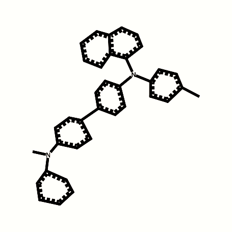 Cc1ccc(N(c2ccc(-c3ccc(N(C)c4ccccc4)cc3)cc2)c2cccc3ccccc23)cc1